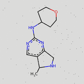 CC1NCc2nc(NC3CCOCC3)ncc21